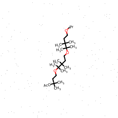 CC(=O)OC(C)(C)CCOC(C)(C)C(C)(C)CCOC(C)(C)C(C)(C)CCOC(C)C